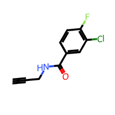 C#CCNC(=O)c1ccc(F)c(Cl)c1